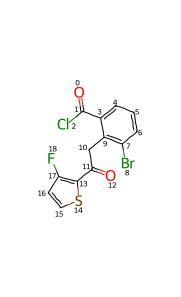 O=C(Cl)c1cccc(Br)c1CC(=O)c1sccc1F